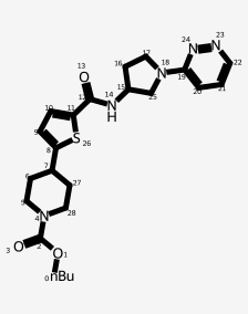 CCCCOC(=O)N1CCC(c2ccc(C(=O)NC3CCN(c4cccnn4)C3)s2)CC1